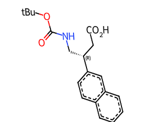 CC(C)(C)OC(=O)NC[C@H](CC(=O)O)c1ccc2ccccc2c1